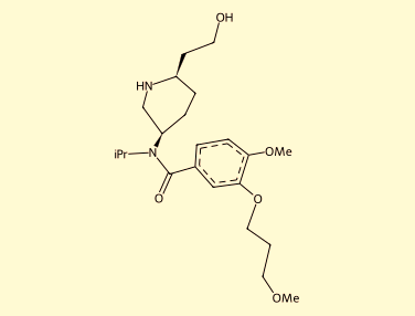 COCCCOc1cc(C(=O)N(C(C)C)[C@@H]2CC[C@H](CCO)NC2)ccc1OC